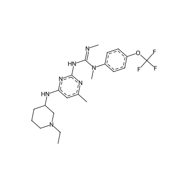 CCN1CCCC(Nc2cc(C)nc(N/C(=N/C)N(C)c3ccc(OC(F)(F)F)cc3)n2)C1